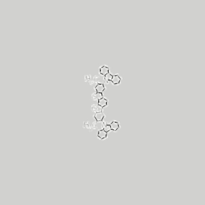 CC1=CC2Oc3c(ccc4c3oc3cc(C)c(-n5c6ccccc6c6ccccc65)cc34)C2C=C1n1c2ccccc2c2ccccc21